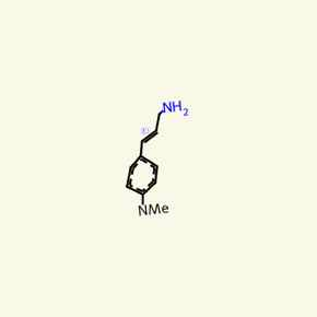 CNc1ccc(/C=C/CN)cc1